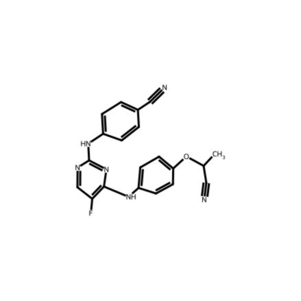 CC(C#N)Oc1ccc(Nc2nc(Nc3ccc(C#N)cc3)ncc2F)cc1